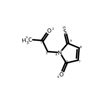 CC(=O)CN1C(=O)C=CC1=S